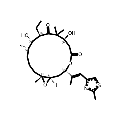 CC[C@H]1C(=O)C(C)(C)[C@@H](O)CC(=O)O[C@H](C(C)=Cc2csc(C)n2)C[C@H]2O[C@]2(C)CCC[C@H](C)[C@@H]1O